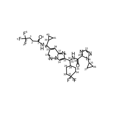 O=C(CCC(F)(F)F)N[C@@H](c1cnn2cc([C@@H](NC(=O)c3ncnn3C3CC3)C3CCC(F)(F)CC3)nc2c1)C1CC1